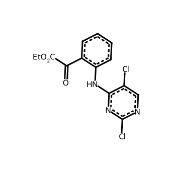 CCOC(=O)C(=O)c1ccccc1Nc1nc(Cl)ncc1Cl